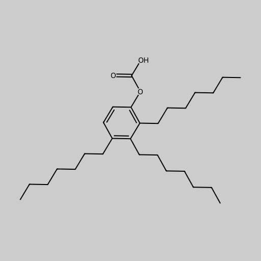 CCCCCCCc1ccc(OC(=O)O)c(CCCCCCC)c1CCCCCCC